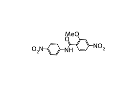 COc1cc([N+](=O)[O-])ccc1C(=O)Nc1ccc([N+](=O)[O-])cc1